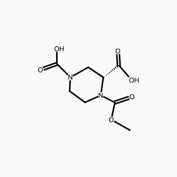 COC(=O)N1CCN(C(=O)O)C[C@@H]1C(=O)O